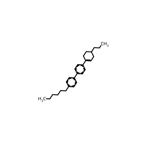 CCCCCCc1ccc(-c2ccc(C3=CCC(CCC)CC3)cc2)cc1